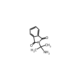 CC(C)(N)N1C(=O)c2ccccc2C1=O